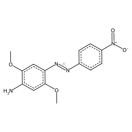 COc1cc(/N=N/c2ccc([N+](=O)[O-])cc2)c(OC)cc1N